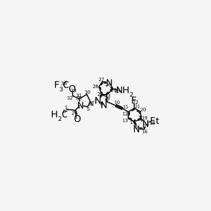 C=CC(=O)N1C[C@@H](n2nc(C#Cc3cc4ncn(CC)c4cc3F)c3c(N)nccc32)C[C@@H]1COC(F)(F)F